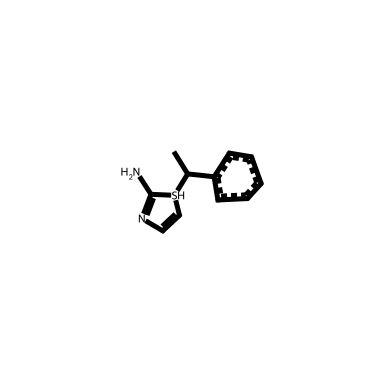 CC(c1ccccc1)[SH]1C=CN=C1N